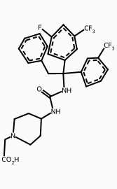 O=C(O)CN1CCC(NC(=O)NC(Cc2ccccc2)(c2cccc(C(F)(F)F)c2)c2cc(F)cc(C(F)(F)F)c2)CC1